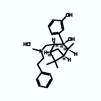 C[C@H]1[C@@H]2C[C@H]([C@H](CN(C)CCc3ccccc3)[C@@]1(O)c1cccc(O)c1)C2(C)C.Cl